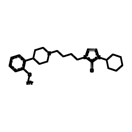 CCCOc1ccccc1C1CCN(CCCCn2ccn(C3CCCCC3)c2=O)CC1